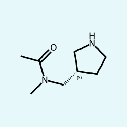 CC(=O)N(C)C[C@H]1CCNC1